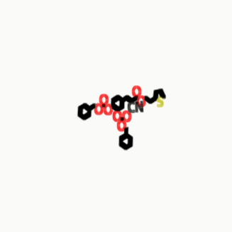 N#C/C(=C\c1ccc(OC(=O)OCc2ccccc2)c(OC(=O)OCc2ccccc2)c1)C(=O)OCCc1cccs1